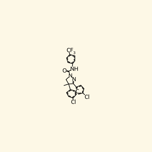 CC1(c2ccc(Cl)cc2)CN(C(=O)Nc2ccc(C(F)(F)F)cc2)N=C1c1ccc(Cl)cc1